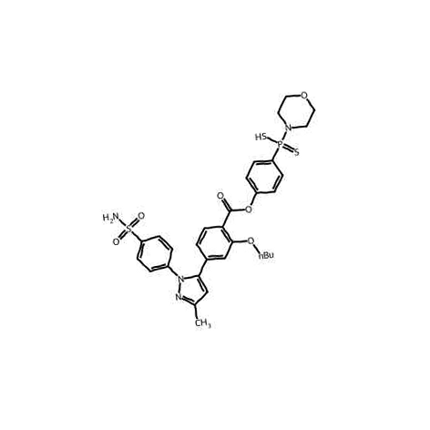 CCCCOc1cc(-c2cc(C)nn2-c2ccc(S(N)(=O)=O)cc2)ccc1C(=O)Oc1ccc(P(=S)(S)N2CCOCC2)cc1